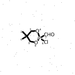 CC1(C)CO[P](Cl)(C=O)OC1